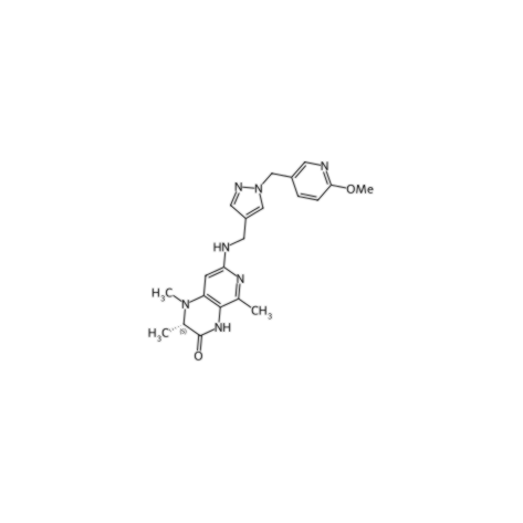 COc1ccc(Cn2cc(CNc3cc4c(c(C)n3)NC(=O)[C@H](C)N4C)cn2)cn1